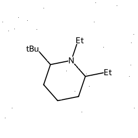 CCC1CCCC(C(C)(C)C)N1CC